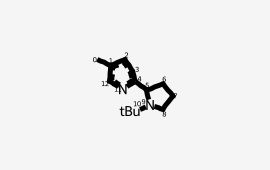 Cc1ccc(C2CCCN2C(C)(C)C)nc1